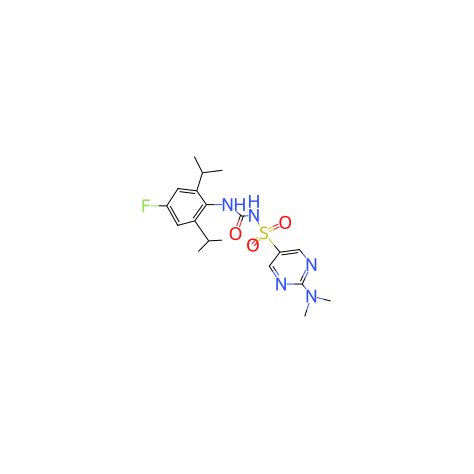 CC(C)c1cc(F)cc(C(C)C)c1NC(=O)NS(=O)(=O)c1cnc(N(C)C)nc1